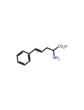 NC(C/C=C/c1ccccc1)C(=O)O